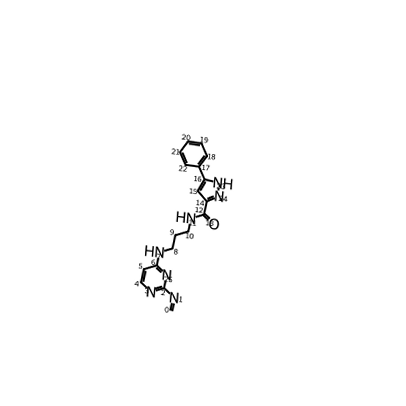 C=Nc1nccc(NCCCNC(=O)c2cc(-c3ccccc3)[nH]n2)n1